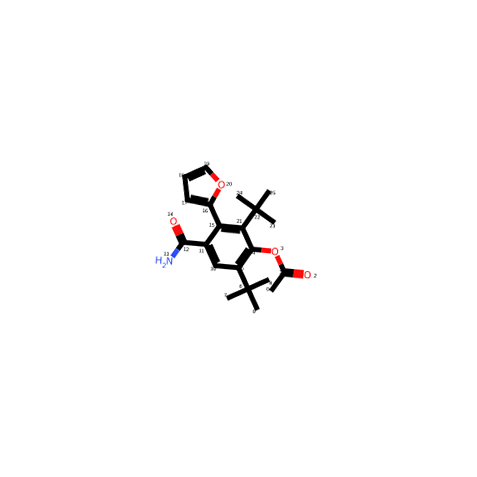 CC(=O)Oc1c(C(C)(C)C)cc(C(N)=O)c(-c2ccco2)c1C(C)(C)C